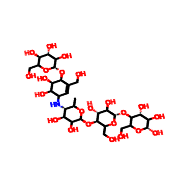 CC1O[C@@H](O[C@@H]2C(CO)O[C@@H](O[C@@H]3C(CO)O[C@@H](O)C(O)[C@H]3O)C(O)[C@H]2O)C(O)[C@@H](O)[C@@H]1NC1C=C(CO)[C@H](O[C@@H]2OC(CO)[C@@H](O)[C@H](O)C2O)[C@H](O)C1O